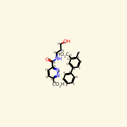 Cc1ccc(-c2ccccc2)cc1C(=O)O.O=C(O)c1ccc(C(=O)NCCCO)nn1